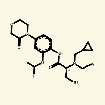 CC(C)CN(CC1CC1)[C@@H](CN)C(=O)Nc1ccc(N2CCOCC2=O)cc1OC(F)F